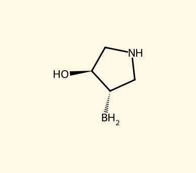 B[C@H]1CNC[C@@H]1O